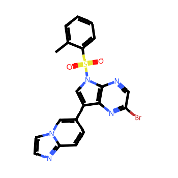 Cc1ccccc1S(=O)(=O)n1cc(-c2ccc3nccn3c2)c2nc(Br)cnc21